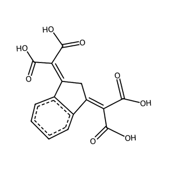 O=C(O)C(C(=O)O)=C1CC(=C(C(=O)O)C(=O)O)c2ccccc21